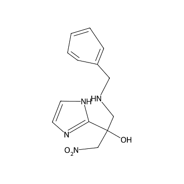 O=[N+]([O-])CC(O)(CNCc1ccccc1)c1ncc[nH]1